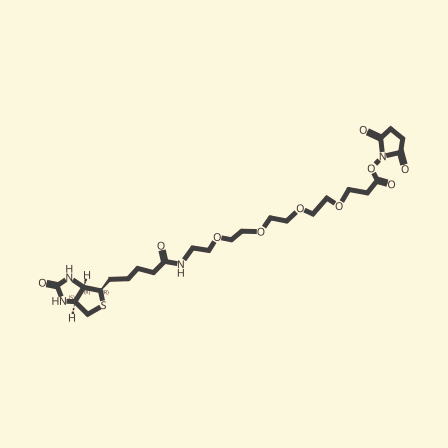 O=C(CCCC[C@H]1SC[C@H]2NC(=O)N[C@H]21)NCCOCCOCCOCCOCCC(=O)ON1C(=O)CCC1=O